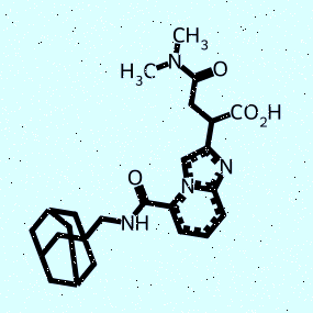 CN(C)C(=O)CC(C(=O)O)c1cn2c(C(=O)NCC34CC5CC(CC(C5)C3)C4)cccc2n1